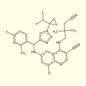 Cc1nc(F)ccc1C(Nc1cc(Cl)c2ncc(C#N)c(NCC(C)(C)CC#N)c2c1)c1cn(C2(C(F)F)CC2)nn1